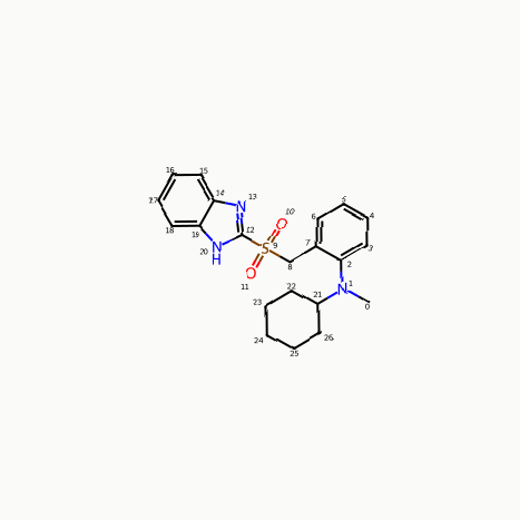 CN(c1ccccc1CS(=O)(=O)c1nc2ccccc2[nH]1)C1CCCCC1